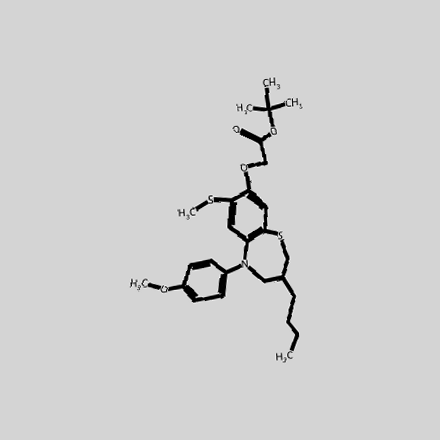 CCCCC1CSc2cc(OCC(=O)OC(C)(C)C)c(SC)cc2N(c2ccc(OC)cc2)C1